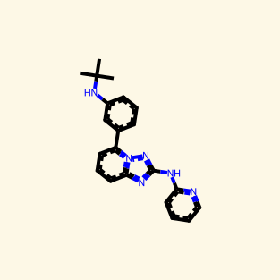 CC(C)(C)Nc1cccc(-c2cccc3nc(Nc4ccccn4)nn23)c1